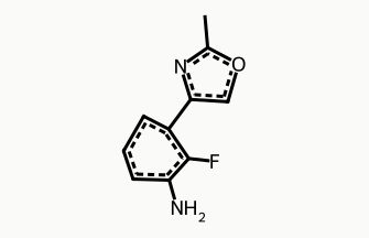 Cc1nc(-c2cccc(N)c2F)co1